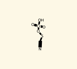 N#CS[O][Cr](=[O])(=[O])[OH]